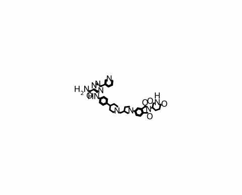 NC(=O)c1nnc(-c2cccnc2)nc1Nc1ccc(C2CCN(CC3CCN(c4ccc5c(c4)C(=O)N(C4CCC(=O)NC4=O)C5=O)C3)CC2)cc1